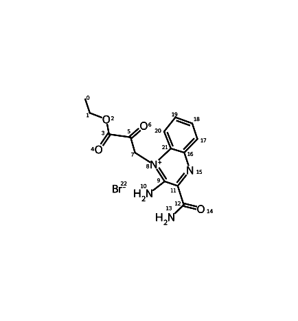 CCOC(=O)C(=O)C[n+]1c(N)c(C(N)=O)nc2ccccc21.[Br-]